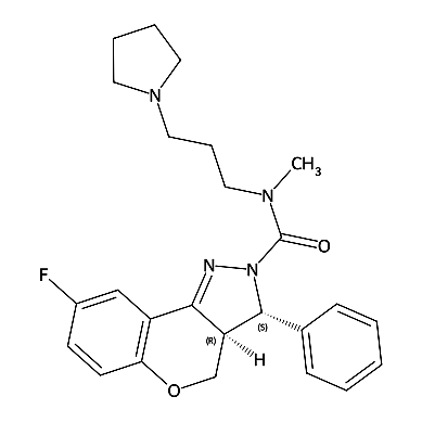 CN(CCCN1CCCC1)C(=O)N1N=C2c3cc(F)ccc3OC[C@@H]2[C@H]1c1ccccc1